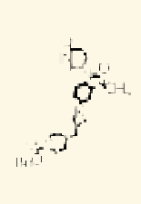 Cn1c(=O)n(C2CCC(=O)NC2=O)c2ccc(N3CC(CC4CCN(C(=O)OC(C)(C)C)CC4)C3)cc21